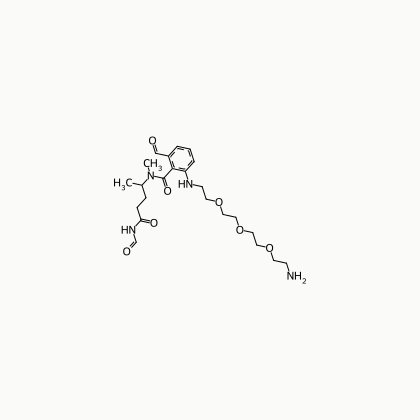 CC(CCC(=O)NC=O)N(C)C(=O)c1c(C=O)cccc1NCCOCCOCCOCCN